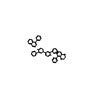 CC1(C)CCC(C)(C)c2c(-c3ccccc3-n3c4ccccc4c4cc(C5C=c6c(n(-c7cc(-c8ccccc8)c8ccccc8c7)c7ccccc67)=CC5)ccc43)cccc21